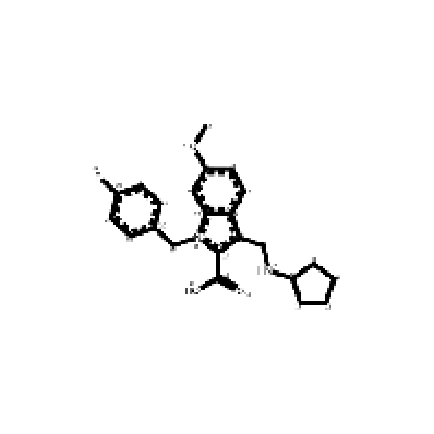 COc1ccc2c(CNC3CCCC3)c(C(=O)O)n(Cc3ccc(F)cc3)c2c1